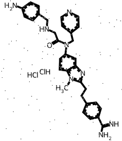 Cl.Cl.Cn1c(CCc2ccc(C(=N)N)cc2)nc2cc(N(Cc3ccncc3)C(=O)CNCc3ccc(N)cc3)ccc21